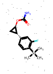 [CH3][Sn]([CH3])([CH3])[c]1ccc([C@@H]2C[C@H]2OC(N)=O)cc1F